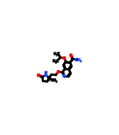 CC(C)Oc1cc2c(OCC[C@]3(C)CCC(=O)N3)nccc2cc1C(N)=O